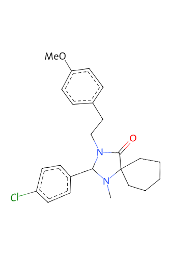 COc1ccc(CCN2C(=O)C3(CCCCC3)N(C)C2c2ccc(Cl)cc2)cc1